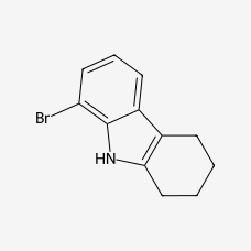 Brc1cccc2c3c([nH]c12)CCCC3